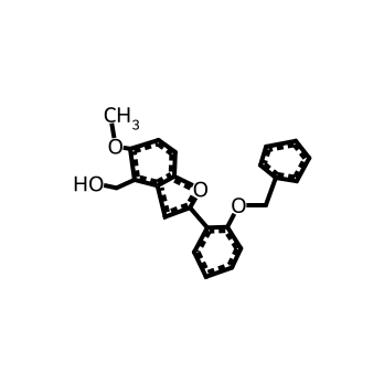 COc1ccc2oc(-c3ccccc3OCc3ccccc3)cc2c1CO